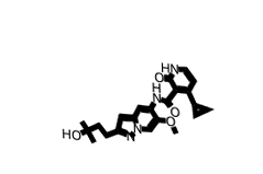 COc1cn2nc(CCC(C)(C)O)cc2cc1NC(=O)c1c(C2CC2)cc[nH]c1=O